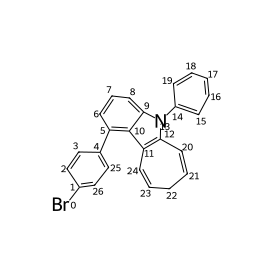 Brc1ccc(-c2cccc3c2c2c(n3-c3ccccc3)C=CCC=C2)cc1